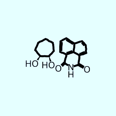 O=C1NC(=O)c2cccc3cccc1c23.O[C@@H]1CCCCC[C@@H]1O